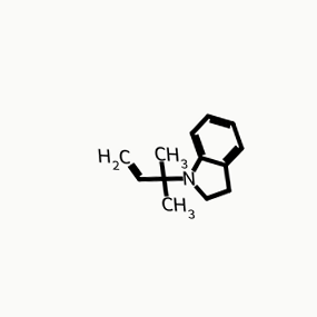 C=CC(C)(C)N1CCc2ccccc21